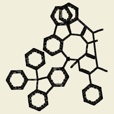 CC1C(c2ccccc2)=CC2(C)C3=C1C(C)C1=C(C3C)C3(c4ccccc41)c1ccccc1-c1cccc(c13)N2c1ccc2c(c1)C(c1ccccc1)(c1ccccc1)c1ccccc1-2